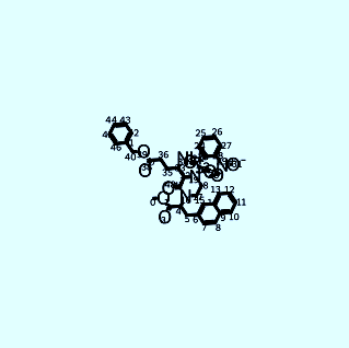 COC(=O)C(Cc1ccc2ccccc2c1)N1CCN(S(=O)(=O)c2ccccc2[N+](=O)[O-])C(C(N)CCC(=O)OCc2ccccc2)C1=O